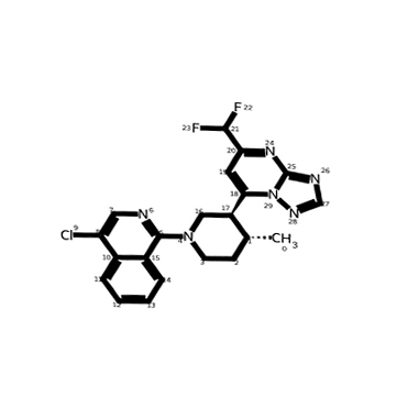 C[C@@H]1CCN(c2ncc(Cl)c3ccccc23)C[C@H]1c1cc(C(F)F)nc2ncnn12